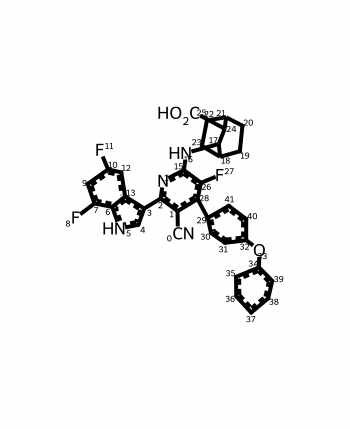 N#Cc1c(-c2c[nH]c3c(F)cc(F)cc23)nc(NC2C3CCC(CC3)C2C(=O)O)c(F)c1-c1ccc(Oc2ccccc2)cc1